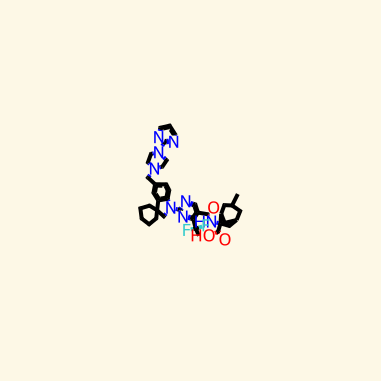 CC1CC2CC(C1)C(NC(=O)c1cnc(N3CC4(CCCCC4)c4cc(CN5CCN(c6ncccn6)CC5)ccc43)nc1C(C)(F)F)(C(=O)O)C2